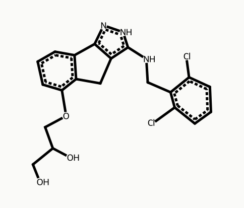 OCC(O)COc1cccc2c1Cc1c-2n[nH]c1NCc1c(Cl)cccc1Cl